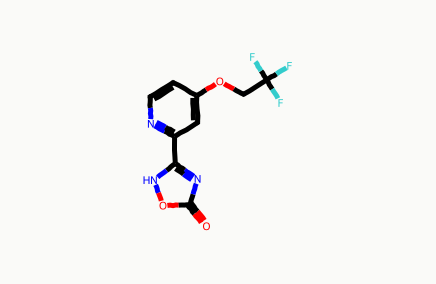 O=c1nc(-c2cc(OCC(F)(F)F)ccn2)[nH]o1